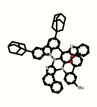 CC(C)(C)c1ccc(N2c3cc4c(oc5ccccc54)c4c3B(c3sc5ccc6ccccc6c5c32)n2c3ccc(C56CC7CC(CC(C7)C5)C6)cc3c3cc(C56CC7CC(CC(C7)C5)C6)cc-4c32)c(-c2ccccc2)c1